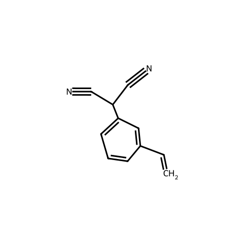 C=Cc1cccc(C(C#N)C#N)c1